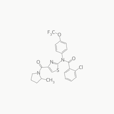 CC1CCCN1C(=O)c1csc(N(C(=O)c2ccccc2Cl)c2ccc(OC(F)(F)F)cc2)n1